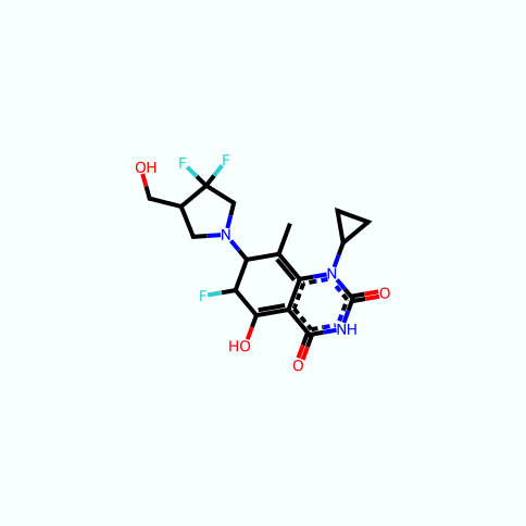 CC1=c2c(c(=O)[nH]c(=O)n2C2CC2)=C(O)C(F)C1N1CC(CO)C(F)(F)C1